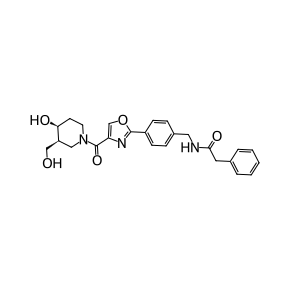 O=C(Cc1ccccc1)NCc1ccc(-c2nc(C(=O)N3CC[C@H](O)[C@H](CO)C3)co2)cc1